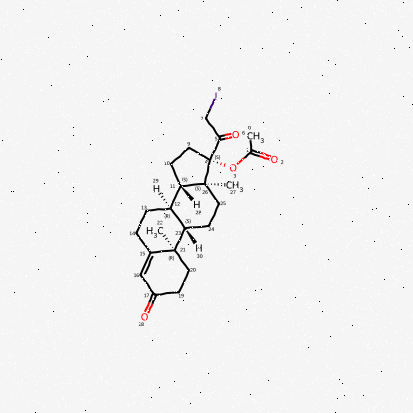 CC(=O)O[C@@]1(C(=O)CI)CC[C@H]2[C@@H]3CCC4=CC(=O)CC[C@]4(C)[C@H]3CC[C@@]21C